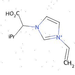 C=C[n+]1ccn(C(C(=O)O)C(C)C)c1